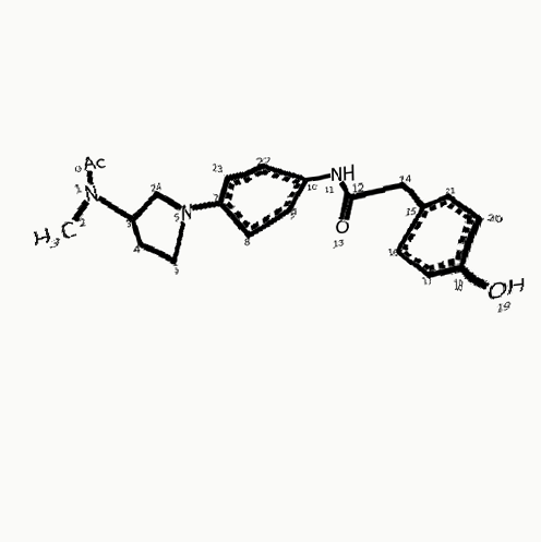 CC(=O)N(C)C1CCN(c2ccc(NC(=O)Cc3ccc(O)cc3)cc2)C1